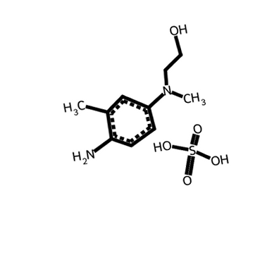 Cc1cc(N(C)CCO)ccc1N.O=S(=O)(O)O